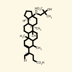 CC/C=C(\CCC(=O)O)C1=CCC2(C)C(CCC3(C)C2CCC2[C@H]4CCCC4(NCC(C)(O)C(=O)O)CC[C@]23C)C1C